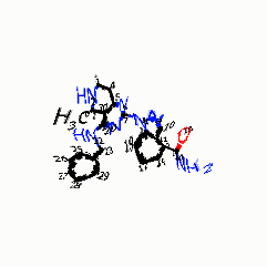 CC1NCCc2nc(-n3ncc4c(C(N)=O)cccc43)nc(NCc3ccccc3)c21